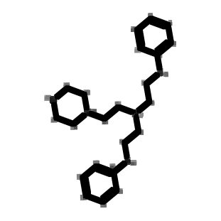 c1ccc(SCCN(CCSc2ccccc2)CCN2CCOCC2)cc1